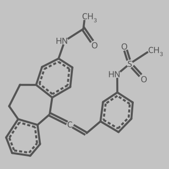 CC(=O)Nc1ccc2c(c1)CCc1ccccc1C2=C=Cc1cccc(NS(C)(=O)=O)c1